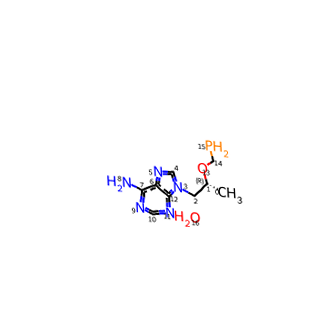 C[C@H](Cn1cnc2c(N)ncnc21)OCP.O